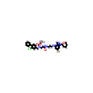 CC(C)(C)OC(=O)N(CCC(=O)NCCCNc1cc(Br)cc2c1cnn2C1CCCCO1)Cc1ccc(-c2ccccc2)c(Cl)c1